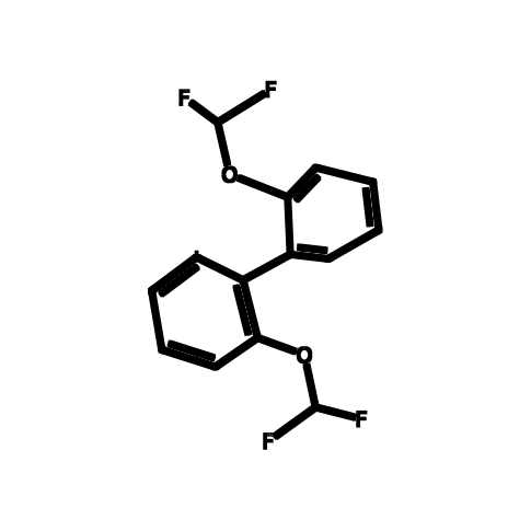 FC(F)Oc1ccc[c]c1-c1ccccc1OC(F)F